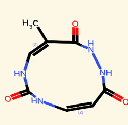 C/C1=C/NC(=O)N/C=C\C(=O)NNC1=O